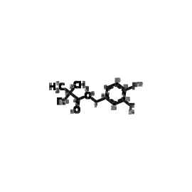 CCC(C)(C)C(=O)OCc1ccc(F)c(F)c1